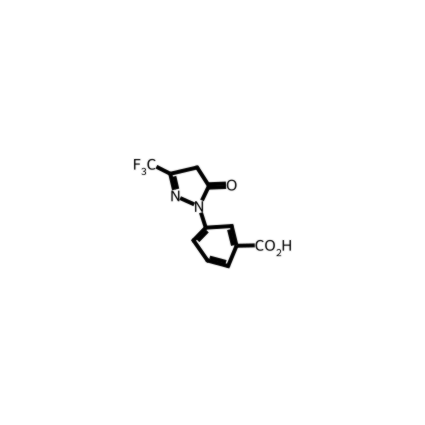 O=C(O)c1cccc(N2N=C(C(F)(F)F)CC2=O)c1